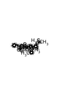 Cc1cccc(C)c1Oc1nc(-c2cc(F)cc(OCC(C)C)c2)ccc1C(=O)NS(=O)(=O)c1ccc(OCc2ccccc2)c([N+](=O)O)n1